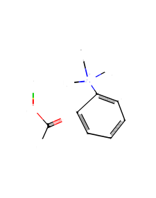 CC(=O)OCl.C[N+](C)(C)c1ccccc1